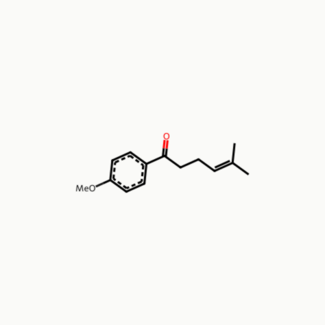 COc1ccc(C(=O)CCC=C(C)C)cc1